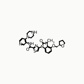 Cn1c(=O)n(-c2csc(C(=O)Nc3cnccc3N3CCNCC3)n2)c2cccc(OC[C@H]3CCCO3)c21